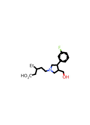 CCC(CCN1CC(CO)C(c2cccc(F)c2)C1)CC(=O)O